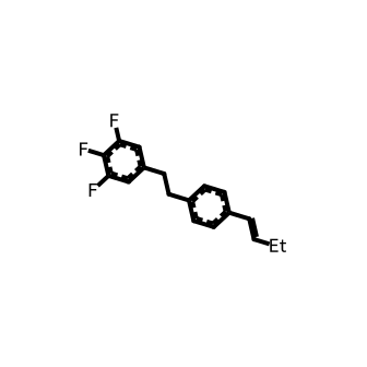 CC/C=C/c1ccc(CCc2cc(F)c(F)c(F)c2)cc1